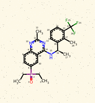 CCP(=O)(CC)c1ccc2nc(C)nc(N[C@H](C)c3cccc(C(F)(F)F)c3C)c2c1